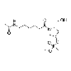 COP(C)(=O)O[C@@H]1C[C@@H](CO)N(C(=O)CCCCCNC(C)=O)C1